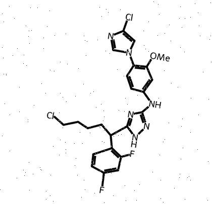 COc1cc(Nc2n[nH]c(C(CCCCCl)c3ccc(F)cc3F)n2)ccc1-n1cnc(Cl)c1